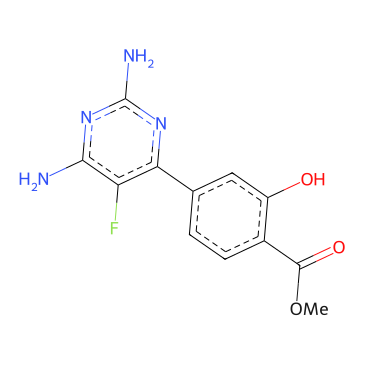 COC(=O)c1ccc(-c2nc(N)nc(N)c2F)cc1O